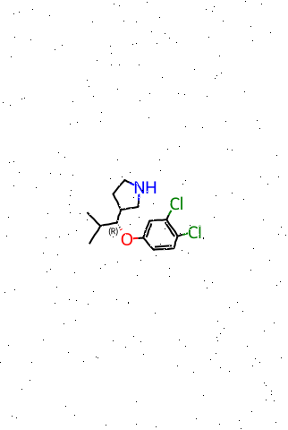 CC(C)[C@@H](Oc1ccc(Cl)c(Cl)c1)C1CCNC1